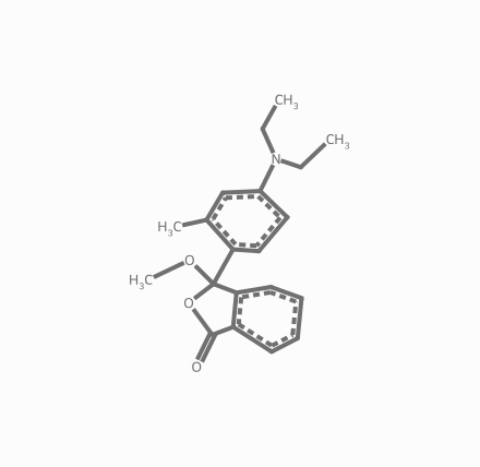 CCN(CC)c1ccc(C2(OC)OC(=O)c3ccccc32)c(C)c1